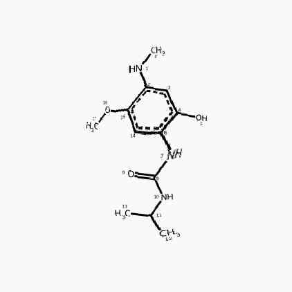 CNc1cc(O)c(NC(=O)NC(C)C)cc1OC